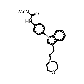 CNC(=O)Nc1ccc(-n2cc(CCN3CCOCC3)c3ccccc32)cc1